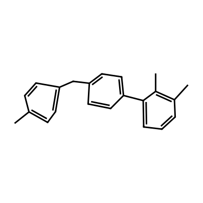 Cc1ccc(Cc2ccc(-c3cccc(C)c3C)cc2)cc1